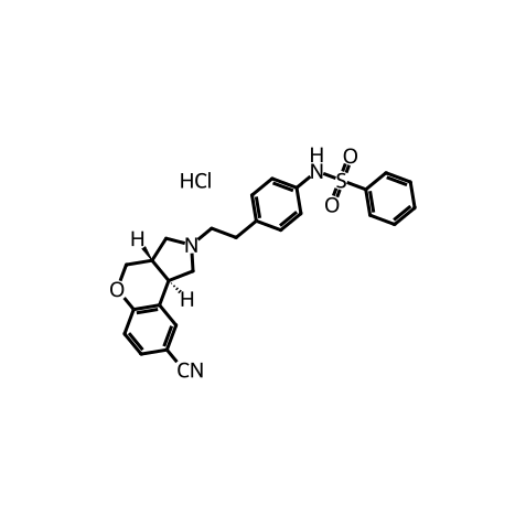 Cl.N#Cc1ccc2c(c1)[C@@H]1CN(CCc3ccc(NS(=O)(=O)c4ccccc4)cc3)C[C@H]1CO2